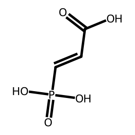 O=C(O)C=CP(=O)(O)O